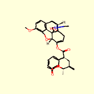 C=C(C[C@H](C(=O)OC1=CC[C@@]2(O)[C@H]3Cc4ccc(OC)c5c4[C@@]2(CCN3C)[C@H]1O5)c1ccccc1)[C@H](C)OC(C)=O